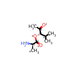 CC(=O)[C@@H](OC(=O)[C@@H](C)N)C(C)C